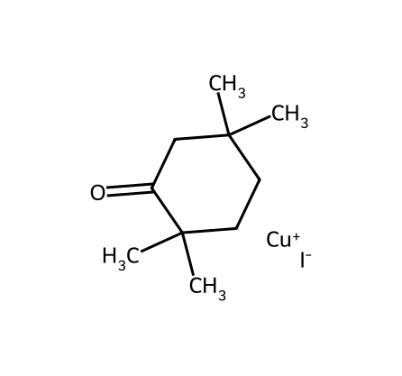 CC1(C)CCC(C)(C)C(=O)C1.[Cu+].[I-]